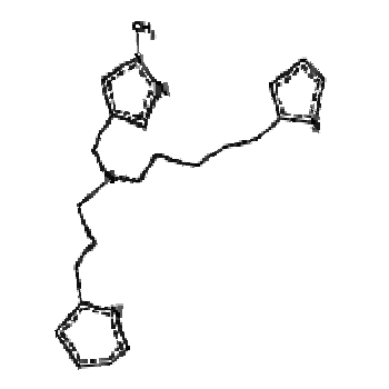 Cn1cc(CN(CCCCCc2cccs2)CCCc2ccccn2)cn1